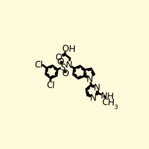 CNc1nccc(-n2ccc3cc(N(CC(=O)O)S(=O)(=O)c4cc(Cl)cc(Cl)c4)ccc32)n1